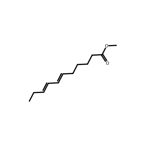 CCC=CC=CCCCCC(=O)OC